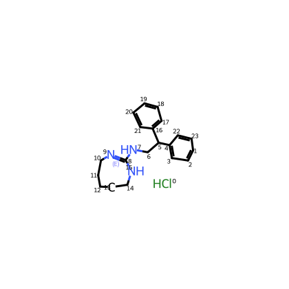 Cl.c1ccc(C(CN/C2=N/CCCCCN2)c2ccccc2)cc1